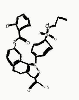 C=CCNS(=O)(=O)c1ccc(-n2nc(C(N)=O)c3c2-c2cc(NC(=O)c4ccccc4Cl)ccc2CC3)cc1